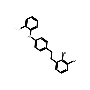 CC(=O)c1cccc(CCc2ccc(Nc3ccccc3C(=O)O)cc2)c1N